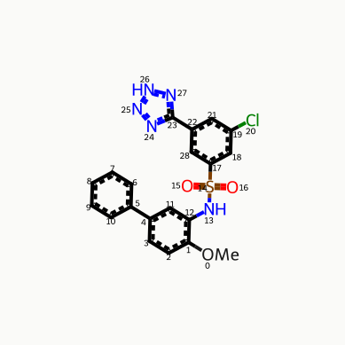 COc1ccc(-c2ccccc2)cc1NS(=O)(=O)c1cc(Cl)cc(-c2nn[nH]n2)c1